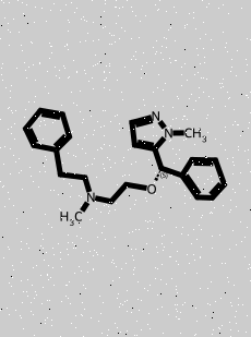 CN(CCO[C@@H](c1ccccc1)c1ccnn1C)CCc1ccccc1